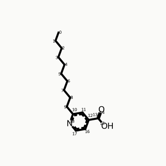 CCCCCCCCCCc1cc(C(=O)O)ccn1